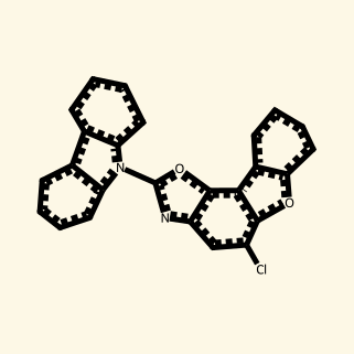 Clc1cc2nc(-n3c4ccccc4c4ccccc43)oc2c2c1oc1ccccc12